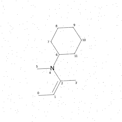 C/C=C(/C)N(C)C1CCCCC1